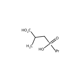 CC(CP(=O)(O)C(C)C)C(=O)O